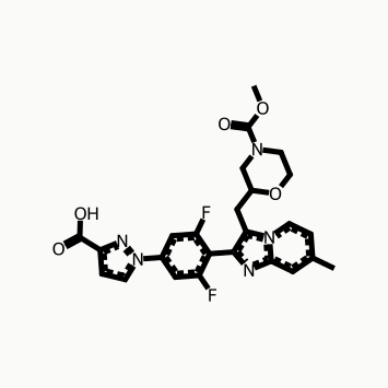 COC(=O)N1CCOC(Cc2c(-c3c(F)cc(-n4ccc(C(=O)O)n4)cc3F)nc3cc(C)ccn23)C1